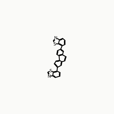 c1cc(-c2ccc3c(ccc4cc(-c5cccc6ncsc56)ccc43)c2)c2scnc2c1